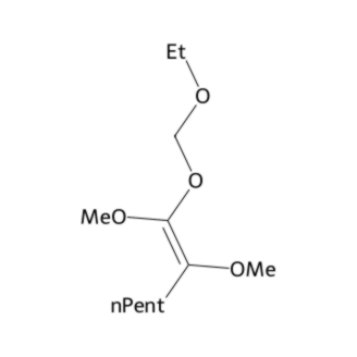 CCCCC/C(OC)=C(\OC)OCOCC